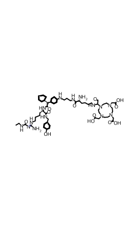 CCNC(=O)/N=C(/N)NCCCC[C@@H](NC(=O)[C@@H](c1ccccc1)c1ccc(NCCCNC(=O)[C@H](N)CCCCNC(C=O)N2CCN(CC(=O)O)CCN(CC(=O)O)CCN(CC(=O)O)CC2)cc1)C(=O)NCc1ccc(O)cc1